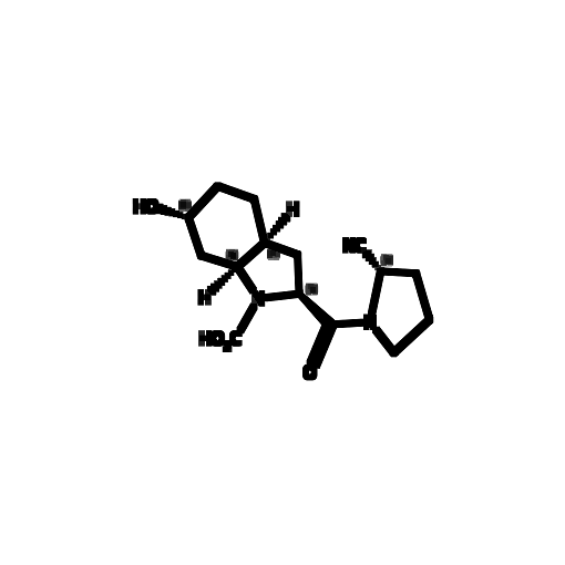 N#C[C@@H]1CCCN1C(=O)[C@@H]1C[C@@H]2CC[C@@H](O)C[C@@H]2N1C(=O)O